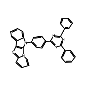 c1ccc(-c2nc(-c3ccccc3)nc(-c3ccc(-n4c5ccccc5c5nc6ccccn6c54)cc3)n2)cc1